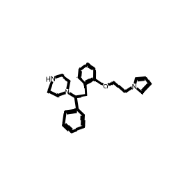 [c]1cccc(OCCn2cccc2)c1CC(c1ccccc1)N1CCNCC1